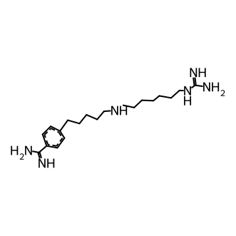 N=C(N)NCCCCCCCNCCCCCc1ccc(C(=N)N)cc1